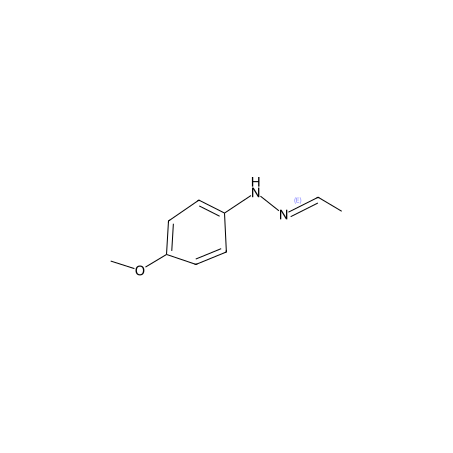 C/C=N/Nc1ccc(OC)cc1